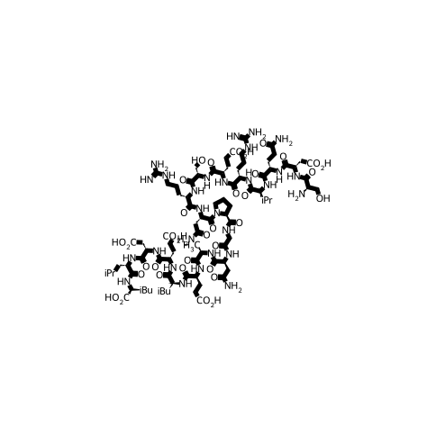 CC[C@H](C)[C@H](NC(=O)[C@H](CC(C)C)NC(=O)[C@H](CC(=O)O)NC(=O)[C@H](CCC(=O)O)NC(=O)[C@@H](NC(=O)[C@H](CCC(=O)O)NC(=O)[C@H](C)NC(=O)[C@H](CC(N)=O)NC(=O)CNC(=O)[C@@H]1CCCN1C(=O)[C@H](CC(N)=O)NC(=O)[C@H](CCCNC(=N)N)NC(=O)[C@H](CO)NC(=O)[C@H](CCC(=O)O)NC(=O)[C@H](CCCNC(=N)N)NC(=O)[C@@H](NC(=O)[C@H](CCC(N)=O)NC(=O)[C@H](CC(=O)O)NC(=O)[C@@H](N)CO)C(C)C)[C@@H](C)CC)C(=O)O